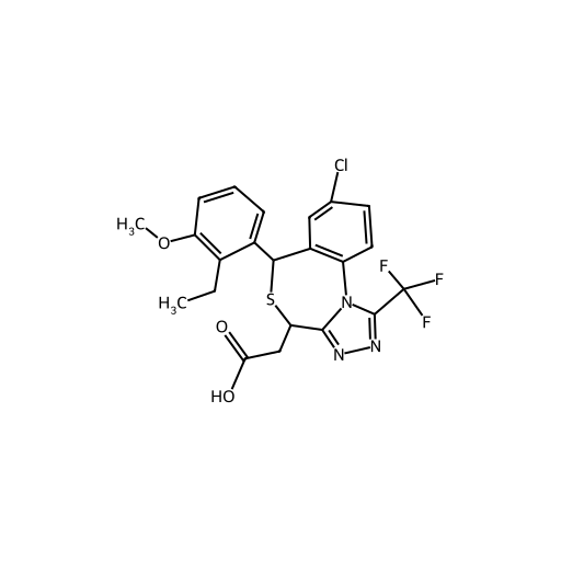 CCc1c(OC)cccc1C1SC(CC(=O)O)c2nnc(C(F)(F)F)n2-c2ccc(Cl)cc21